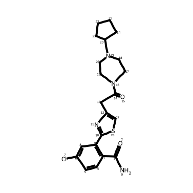 NC(=O)c1ccc(Cl)cc1-c1nc(CC(=O)N2CCN(C3CCCC3)CC2)cs1